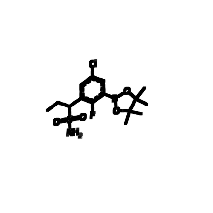 CCC(c1cc(Cl)cc(B2OC(C)(C)C(C)(C)O2)c1F)S(N)(=O)=O